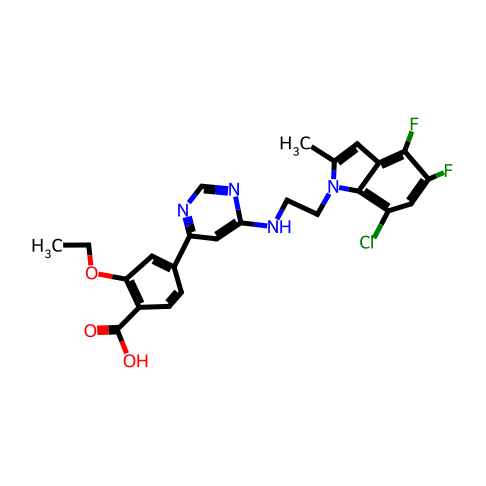 CCOc1cc(-c2cc(NCCn3c(C)cc4c(F)c(F)cc(Cl)c43)ncn2)ccc1C(=O)O